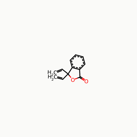 C=CC1(C=C)OC(=O)c2ccccc21